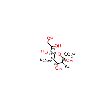 CC(=O)N[C@H]1[C@H]([C@H](O)[C@H](O)CO)O[C@](O)(C(=O)O)C(C(C)=O)[C@@H]1O